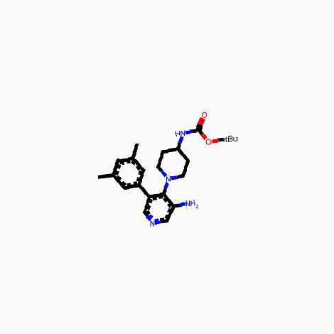 Cc1cc(C)cc(-c2cncc(N)c2N2CCC(NC(=O)OC(C)(C)C)CC2)c1